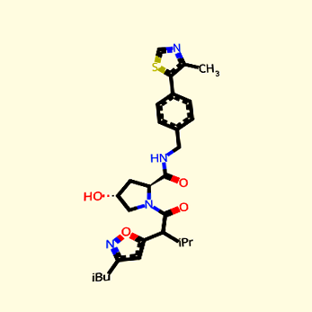 CCC(C)c1cc(C(C(=O)N2C[C@H](O)C[C@H]2C(=O)NCc2ccc(-c3scnc3C)cc2)C(C)C)on1